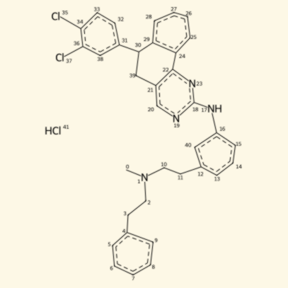 CN(CCc1ccccc1)CCc1cccc(Nc2ncc3c(n2)-c2ccccc2C(c2ccc(Cl)c(Cl)c2)C3)c1.Cl